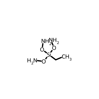 CC[Si](ON)(ON)ON